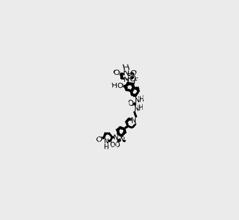 Cn1c(=O)n(C2CCC(=O)NC2=O)c2ccc(C3CCN(CCNC(=O)Nc4ccc5c(F)c(N6CC(=O)NS6(=O)=O)c(O)cc5c4)CC3)cc21